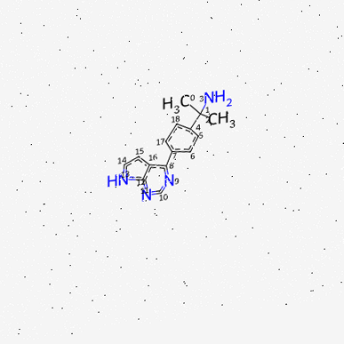 CC(C)(N)c1ccc(-c2ncnc3[nH]ccc23)cc1